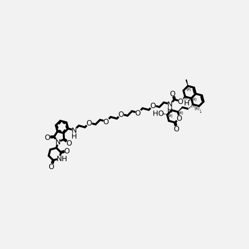 C[C@H]1C=C2C=C[C@H](C)[C@H](CC[C@@H]3C[C@@H](O)CC(=O)O3)[C@H]2[C@@H](OC(=O)NCCOCCOCCOCCOCCOCCNc2cccc3c2C(=O)N(C2CCC(=O)NC2=O)C3=O)C1